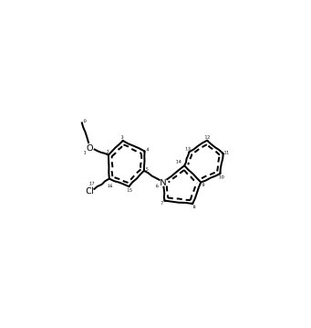 COc1ccc(-n2ccc3ccccc32)cc1Cl